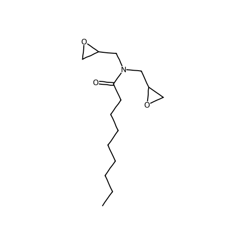 CCCCCCCCC(=O)N(CC1CO1)CC1CO1